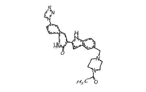 CC(=O)N1CCN(Cc2ccc3[nH]c(-c4cc5cc(-n6ccnn6)ccc5[nH]c4=O)cc3c2)CC1